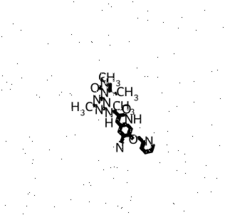 CC[C@H]1CN(C)C(=O)N1c1nc(C)nc(N[C@@H](C)c2cc3cc(C#N)c(OCc4ccccn4)cc3[nH]c2=O)n1